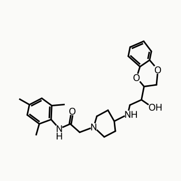 Cc1cc(C)c(NC(=O)CN2CCC(NCC(O)C3COc4ccccc4O3)CC2)c(C)c1